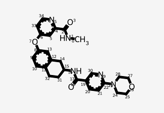 CNC(=O)c1cc(Oc2ccc3c(c2)CC(NC(=O)c2ccc(N4CCOCC4)nc2)CC3)ccn1